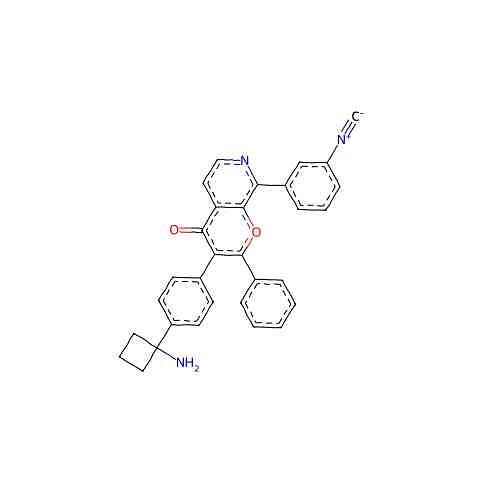 [C-]#[N+]c1cccc(-c2nccc3c(=O)c(-c4ccc(C5(N)CCC5)cc4)c(-c4ccccc4)oc23)c1